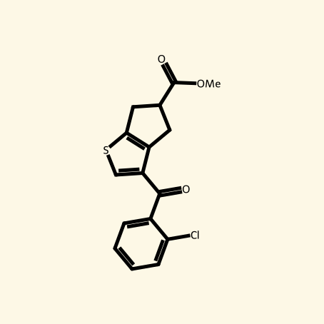 COC(=O)C1Cc2scc(C(=O)c3ccccc3Cl)c2C1